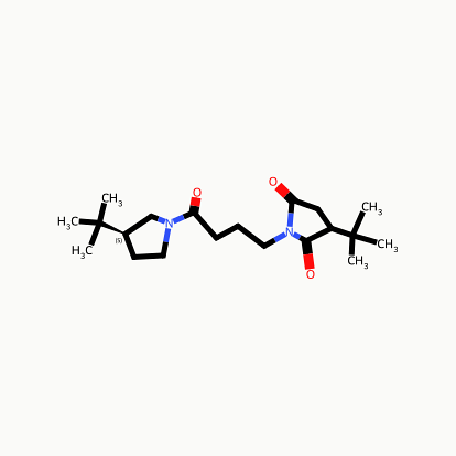 CC(C)(C)C1CC(=O)N(CCCC(=O)N2CC[C@@H](C(C)(C)C)C2)C1=O